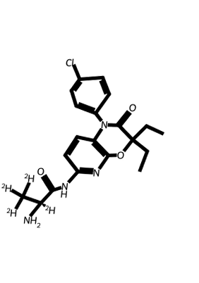 [2H]C([2H])([2H])[C@]([2H])(N)C(=O)Nc1ccc2c(n1)OC(CC)(CC)C(=O)N2c1ccc(Cl)cc1